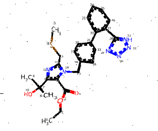 CCOC(=O)c1c(C(C)(C)O)nc(CSC)n1Cc1ccc(-c2ccccc2-c2nnn[nH]2)cc1